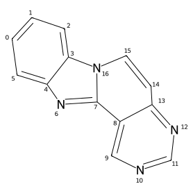 c1ccc2c(c1)nc1c3cncnc3ccn21